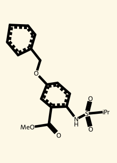 COC(=O)c1cc(OCc2ccccc2)ccc1NS(=O)(=O)C(C)C